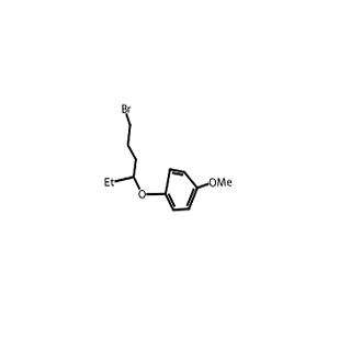 CCC(CCCBr)Oc1ccc(OC)cc1